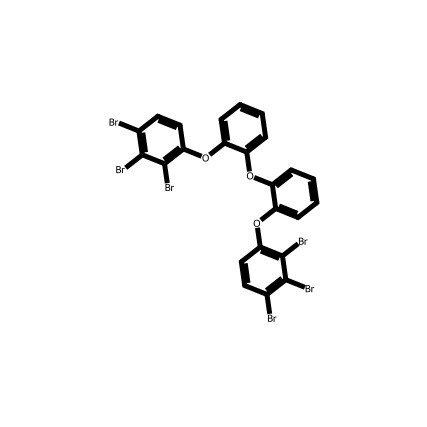 Brc1ccc(Oc2ccccc2Oc2ccccc2Oc2ccc(Br)c(Br)c2Br)c(Br)c1Br